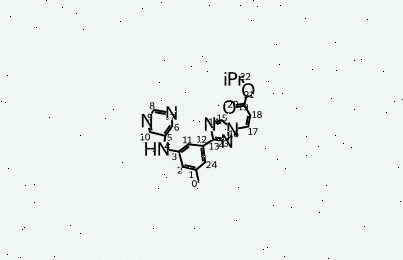 Cc1cc(Nc2cncnc2)cc(-c2ncn(/C=C\C(=O)OC(C)C)n2)c1